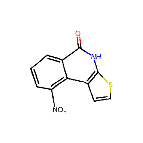 O=c1[nH]c2sccc2c2c([N+](=O)[O-])cccc12